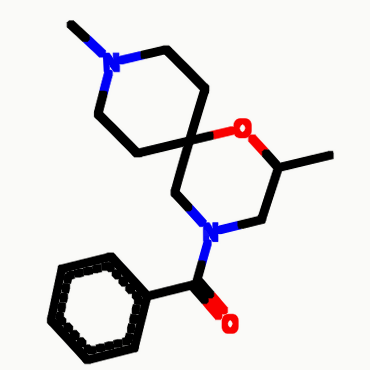 CC1CN(C(=O)c2ccccc2)CC2(CCN(C)CC2)O1